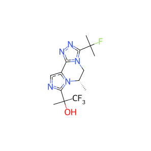 C[C@H]1Cn2c(nnc2C(C)(C)F)-c2cnc(C(C)(O)C(F)(F)F)n21